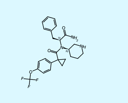 NC(=O)[C@H](Cc1ccccc1)N(C(=O)C1(c2ccc(OC(F)(F)F)cc2)CC1)[C@@H]1CCCNC1